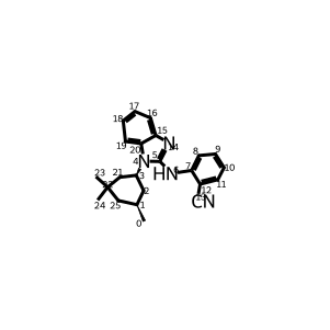 C[C@@H]1C[C@H](n2c(Nc3ccccc3C#N)nc3ccccc32)CC(C)(C)C1